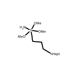 CCCCCCCCC[CH2][Ti]([NH2])([O]C)([O]C)[O]C